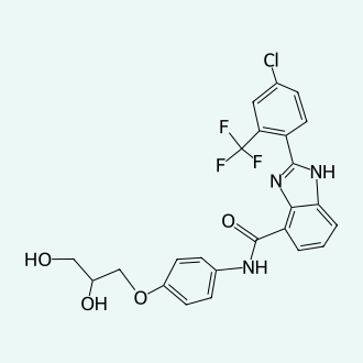 O=C(Nc1ccc(OCC(O)CO)cc1)c1cccc2[nH]c(-c3ccc(Cl)cc3C(F)(F)F)nc12